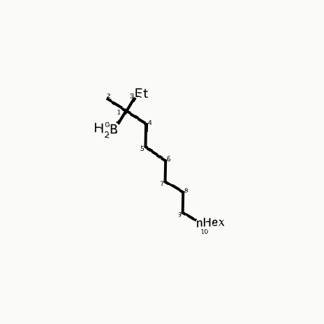 BC(C)(CC)CCCCCCCCCCCC